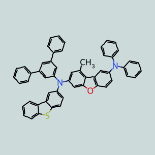 Cc1cc(N(c2cc(-c3ccccc3)cc(-c3ccccc3)c2)c2ccc3sc4ccccc4c3c2)cc2oc3ccc(N(c4ccccc4)c4ccccc4)cc3c12